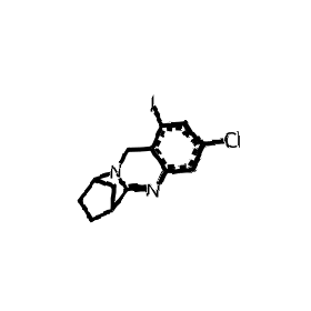 Clc1cc(I)c2c(c1)N=C1C3CCC(C3)N1C2